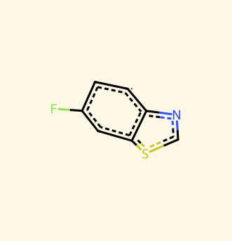 Fc1c[c]c2ncsc2c1